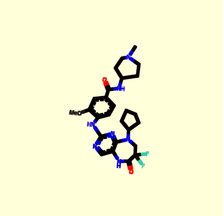 COc1cc(C(=O)NC2CCN(C)CC2)ccc1Nc1ncc2c(n1)N(C1CCCC1)CC(F)(F)C(=O)N2